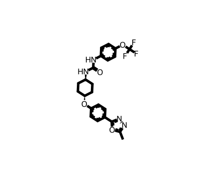 Cc1nnc(-c2ccc(O[C@H]3CC[C@H](NC(=O)Nc4ccc(OC(F)(F)F)cc4)CC3)cc2)o1